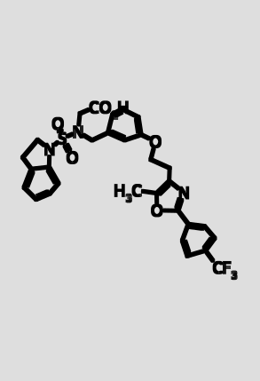 Cc1oc(-c2ccc(C(F)(F)F)cc2)nc1CCOc1cccc(CN(CC(=O)O)S(=O)(=O)N2CCc3ccccc32)c1